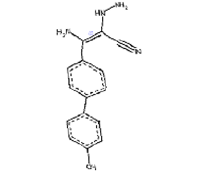 N#C/C(NN)=C(/N)c1ccc(-c2ccc(O)cc2)cc1